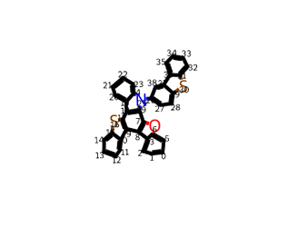 c1ccc2c(c1)oc1c2c2c3ccccc3sc2c2c3ccccc3n(-c3ccc4sc5ccccc5c4c3)c12